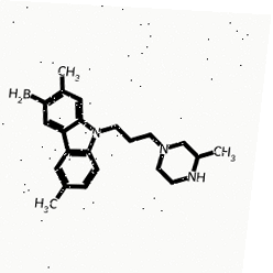 Bc1cc2c3cc(C)ccc3n(CCCN3CCNC(C)C3)c2cc1C